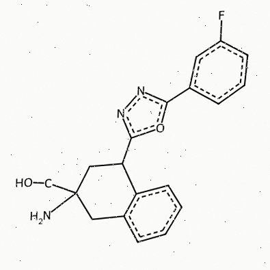 NC1(CO)Cc2ccccc2C(c2nnc(-c3cccc(F)c3)o2)C1